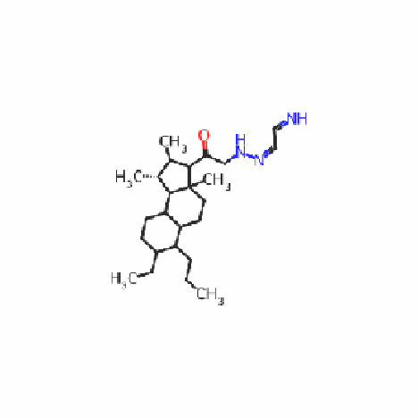 CCCC1C(CC)CCC2C1CCC1(C)C(C(=O)CN/N=C\C=N)C(C)[C@@H](C)C21